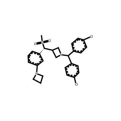 CS(=O)(=O)[C@@H](c1cccc(N2CCC2)c1)C1CN(C(c2ccc(Cl)cc2)c2ccc(Cl)cc2)C1